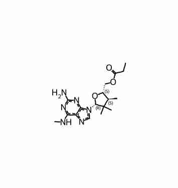 CCC(=O)OC[C@H]1O[C@@H](n2cnc3c(NC)nc(N)nc32)C(C)(C)[C@@H]1C